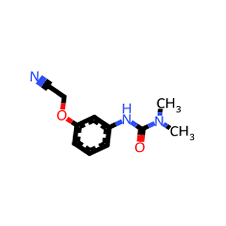 CN(C)C(=O)Nc1cccc(OCC#N)c1